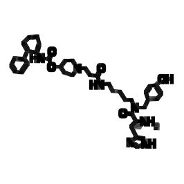 N[C@@H](Cc1c[nH]cn1)C(=O)N(CCCCCNC(=O)CCN1CCC(OC(=O)Nc2ccccc2-c2ccccc2)CC1)Cc1ccc(O)cc1